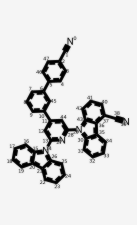 N#Cc1ccc(-c2cccc(-c3cc(-n4c5ccccc5c5ccccc54)nc(-n4c5ccccc5c5c(C#N)cccc54)c3)c2)cc1